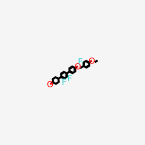 CCOc1ccc(COc2ccc(-c3ccc(C4CCC(OC)CC4)c(F)c3F)cc2)c(F)c1